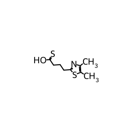 Cc1nc(CCCC(O)=S)sc1C